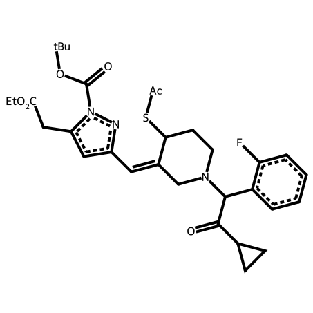 CCOC(=O)Cc1cc(C=C2CN(C(C(=O)C3CC3)c3ccccc3F)CCC2SC(C)=O)nn1C(=O)OC(C)(C)C